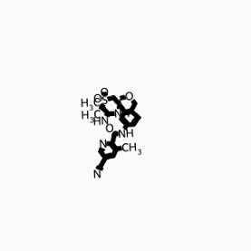 Cc1cc(C#N)cnc1C(=O)Nc1ccc2c(c1)[C@]1(COC2)CS(=O)(=O)C(C)(C)C(=N)N1